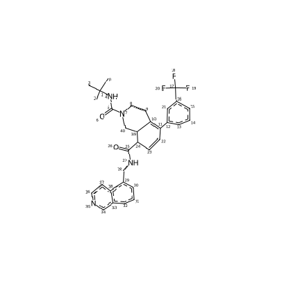 CC(C)(C)NC(=O)N1CCC2=C(c3cccc(C(F)(F)F)c3)C=CC(C(=O)NCc3cccc4cnccc34)C2C1